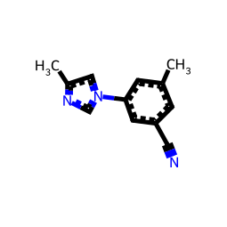 Cc1cc(C#N)cc(-n2cnc(C)c2)c1